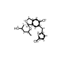 CC1CC(O)C[C@@]2(OCc3cc(Cl)c(Cc4ccc(Cl)s4)cc32)O1